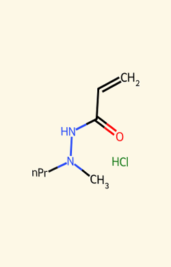 C=CC(=O)NN(C)CCC.Cl